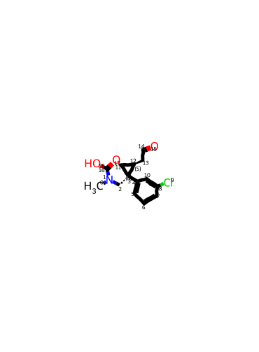 CN(C[C@]1(c2cccc(Cl)c2)C[C@H]1CC=O)C(=O)O